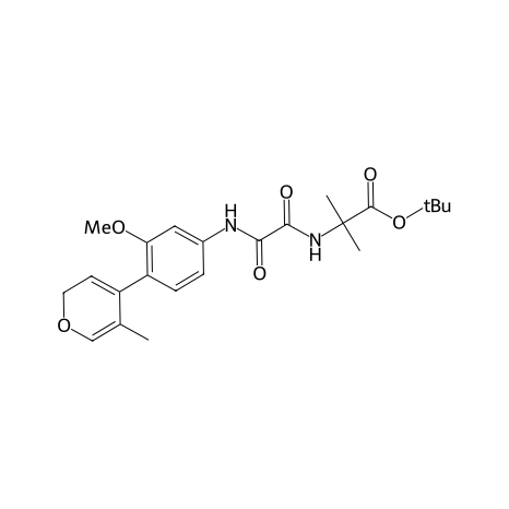 COc1cc(NC(=O)C(=O)NC(C)(C)C(=O)OC(C)(C)C)ccc1C1=CCOC=C1C